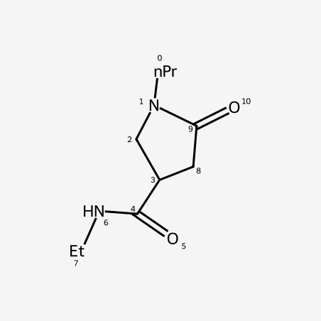 CCCN1CC(C(=O)NCC)CC1=O